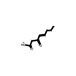 CCC/C=C/C(=O)CC(=O)O